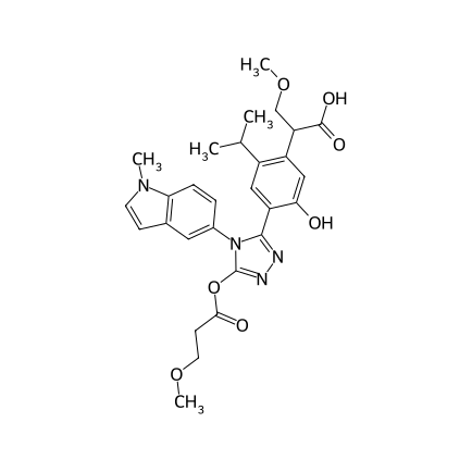 COCCC(=O)Oc1nnc(-c2cc(C(C)C)c(C(COC)C(=O)O)cc2O)n1-c1ccc2c(ccn2C)c1